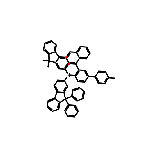 Cc1ccc(-c2ccc(N(c3ccc4c(c3)C(C)(C)c3ccccc3-4)c3ccc4c(c3)C(c3ccccc3)(c3ccccc3)c3ccccc3-4)c(-c3cccc4ccccc34)c2)cc1